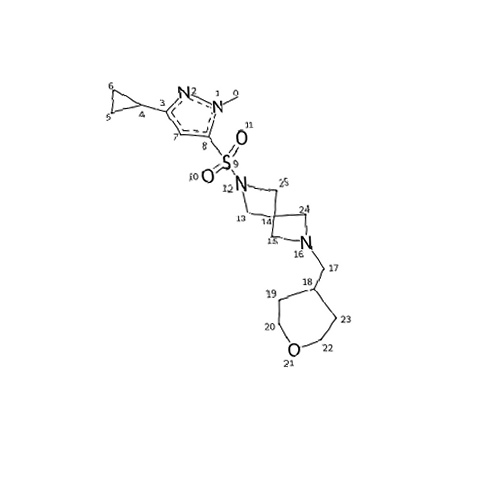 Cn1nc(C2CC2)cc1S(=O)(=O)N1CC2(CN(CC3CCOCC3)C2)C1